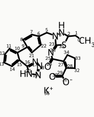 CCC1NN(Cc2ccc(-c3ccccc3-c3nnn[nH]3)cc2)C(=NC(=O)C2=C(C(=O)[O-])CCC2)S1.[K+]